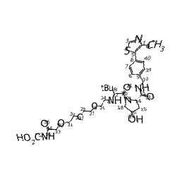 Cc1ncsc1-c1ccc(CNC(=O)[C@@H]2C[C@@H](O)CN2C(=O)[C@@H](NCCOCCOCCOCC(=O)NC(=O)O)C(C)(C)C)cc1